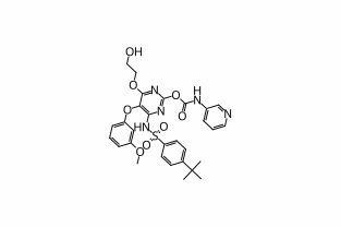 COc1cccc(Oc2c(NS(=O)(=O)c3ccc(C(C)(C)C)cc3)nc(OC(=O)Nc3cccnc3)nc2OCCO)c1